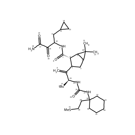 C=C(C1CC2C([C@H]1C(=O)NC(CC1CC1)C(=O)C(N)=O)C2(C)C)[C@@H](NC(=O)NC1(CCSC)CCCCC1)C(C)(C)C